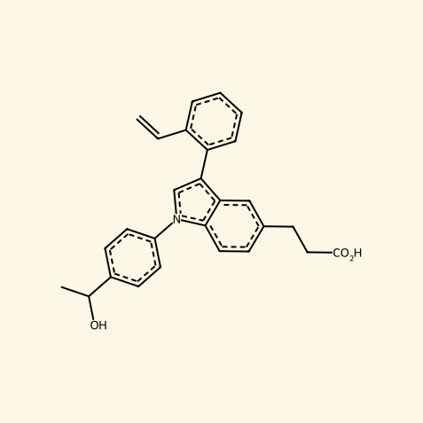 C=Cc1ccccc1-c1cn(-c2ccc(C(C)O)cc2)c2ccc(CCC(=O)O)cc12